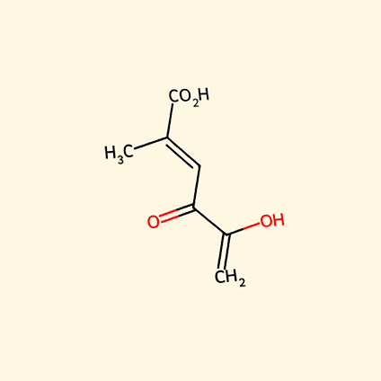 C=C(O)C(=O)C=C(C)C(=O)O